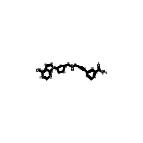 NC(=O)c1cccc(C#CCNCC2CCC(n3ccc4c(Cl)ncnc43)C2)c1